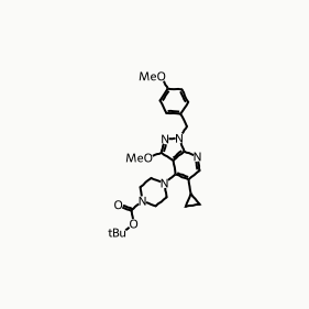 COc1ccc(Cn2nc(OC)c3c(N4CCN(C(=O)OC(C)(C)C)CC4)c(C4CC4)cnc32)cc1